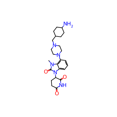 Cn1c(=O)n(C2CCC(=O)NC2=O)c2cccc(N3CCN(CC4CCC(N)CC4)CC3)c21